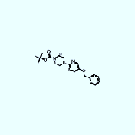 C[C@H]1CN(c2ncc(OCc3ccccc3)cn2)CCN1C(=O)OC(C)(C)C